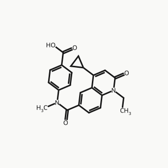 CCn1c(=O)cc(C2CC2)c2cc(C(=O)N(C)c3ccc(C(=O)O)cc3)ccc21